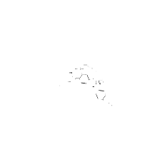 CC1(C)CC(=O)N(CCOC(F)(F)F)c2ccc(NS(=O)(=O)c3ccc(C#N)cc3)cc21